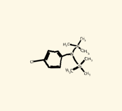 C[Si](C)(C)N(c1ccc(Cl)cc1)[Si](C)(C)C